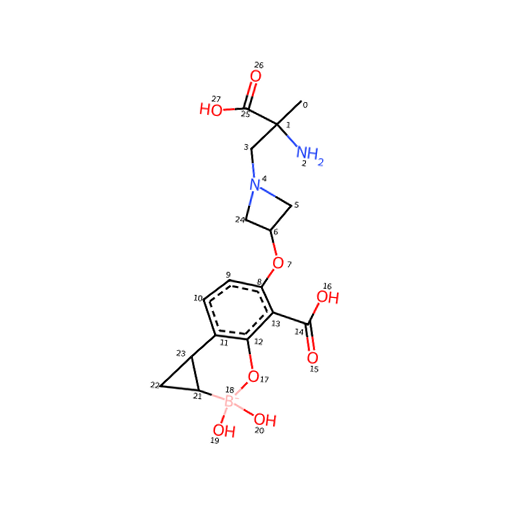 CC(N)(CN1CC(Oc2ccc3c(c2C(=O)O)O[B-](O)(O)C2CC32)C1)C(=O)O